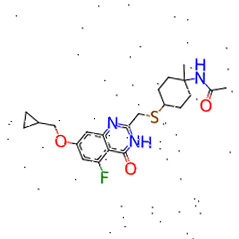 CC(=O)NC1(C)CCC(SCc2nc3cc(OCC4CC4)cc(F)c3c(=O)[nH]2)CC1